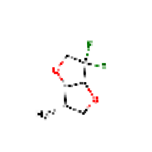 C[C@H]1COC2C1OCC2(F)F